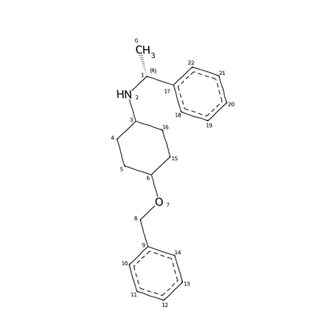 C[C@@H](NC1CCC(OCc2ccccc2)CC1)c1ccccc1